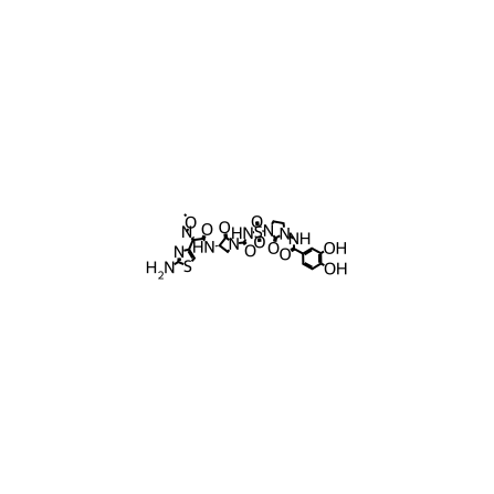 CO/N=C(\C(=O)N[C@H]1CN(C(=O)NS(=O)(=O)N2CCN(NC(=O)c3ccc(O)c(O)c3)C2=O)C1=O)c1csc(N)n1